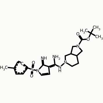 Cc1ccc(S(=O)(=O)N2C=C/C(=C(/N)NN3CCC4CN(C(=O)OC(C)(C)C)CC4C3)C2=N)cc1